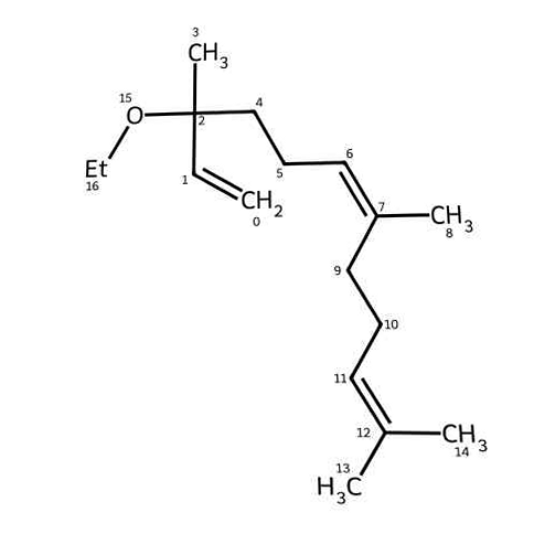 C=CC(C)(CCC=C(C)CCC=C(C)C)OCC